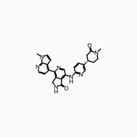 CN1CC[C@@H](c2ccc(Nc3cnc(-c4ccnc5c4ccn5C)c4c3C(=O)NC4)nc2)CC1=O